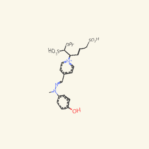 CCCC(C(CCCS(=O)(=O)O)[n+]1ccc(C=NN(C)c2ccc(O)cc2)cc1)S(=O)(=O)O